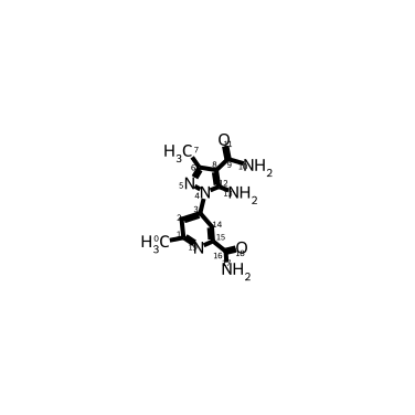 Cc1cc(-n2nc(C)c(C(N)=O)c2N)cc(C(N)=O)n1